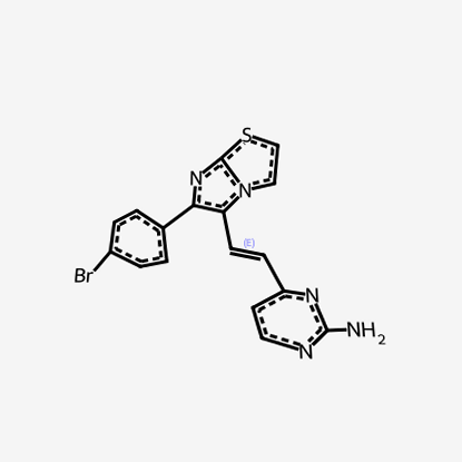 Nc1nccc(/C=C/c2c(-c3ccc(Br)cc3)nc3sccn23)n1